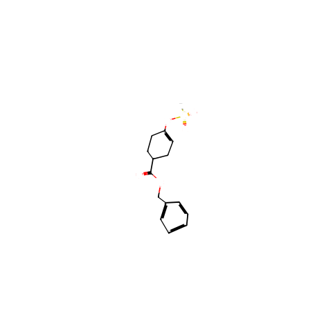 O=C(OCc1ccccc1)C1CC=C(OS(=O)(=O)C(F)(F)F)CC1